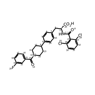 O=C(N[C@@H](Cc1ccc(C2CCN(C(=O)c3cccc(F)c3)CC2)cc1)C(=O)O)c1c(Cl)cccc1Cl